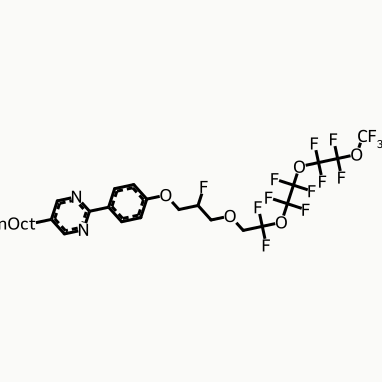 CCCCCCCCc1cnc(-c2ccc(OCC(F)COCC(F)(F)OC(F)(F)C(F)(F)OC(F)(F)C(F)(F)OC(F)(F)F)cc2)nc1